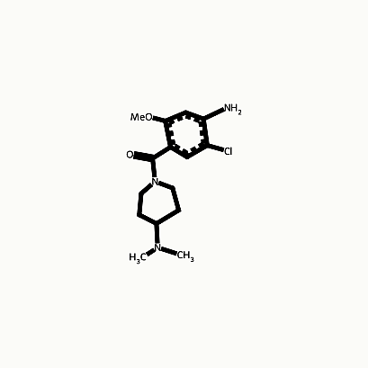 COc1cc(N)c(Cl)cc1C(=O)N1CCC(N(C)C)CC1